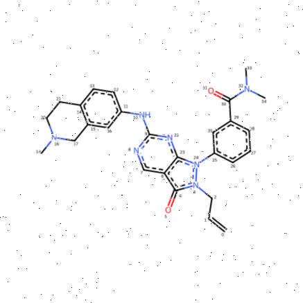 C=CCn1c(=O)c2cnc(Nc3ccc4c(c3)CN(C)CC4)nc2n1-c1cccc(C(=O)N(C)C)c1